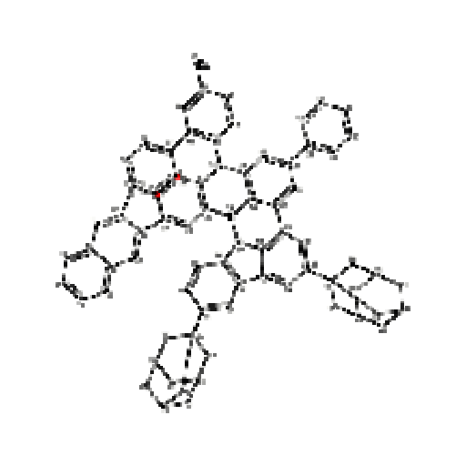 CC(C)(C)c1ccc(N2c3cc4sc5cc6ccccc6cc5c4cc3B3c4c(cc(-c5ccccc5)cc42)-c2cc(C45CC6CC(CC(C6)C4)C5)cc4c5cc(C67CC8CC(CC(C8)C6)C7)ccc5n3c24)c(-c2ccccc2)c1